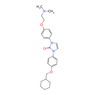 CN(C)CCOc1ccc(-n2ccn(-c3ccc(OCC4CCCCC4)cc3)c2=O)cc1